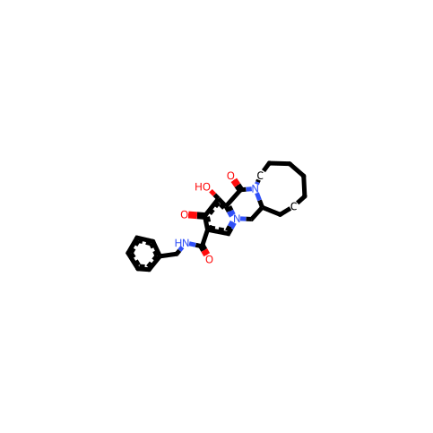 O=C(NCc1ccccc1)c1cn2c(c(O)c1=O)C(=O)N1CCCCCCCC1C2